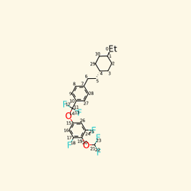 CC[C@H]1CC[C@H](CCc2ccc(C(F)(F)Oc3cc(F)c(OC(F)F)c(F)c3)cc2)CC1